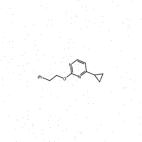 CC(C)CCOc1nccc(C2CC2)n1